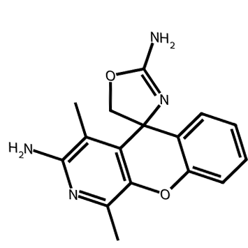 Cc1nc(N)c(C)c2c1Oc1ccccc1C21COC(N)=N1